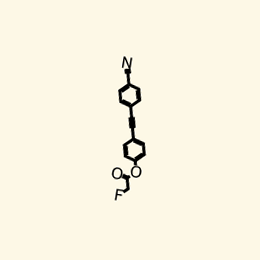 N#Cc1ccc(C#Cc2ccc(OC(=O)CF)cc2)cc1